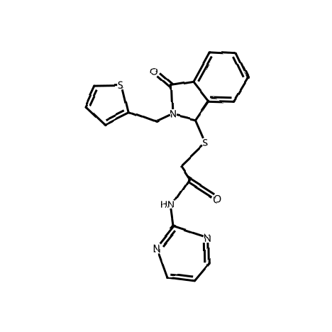 O=C(CSC1c2ccccc2C(=O)N1Cc1cccs1)Nc1ncccn1